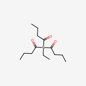 CCCC(=O)[Si](CC)(C(=O)CCC)C(=O)CCC